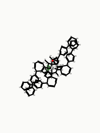 CC1=CC2=C(C=CC=CC2c2ccc(-c3ccccc3)cc2)[C]12C(C)[C]1(C(C)=CC3=C1C=CC=CC3c1ccc(-c3ccccc3)cc1)[Hf]21([Cl])([Cl])[C]2(C(C)=CC3=C2C=CC=CC3c2ccc(-c3ccccc3)cc2)C(C)[C]12C(C)=CC1=C2C=CC=CC1c1ccc(-c2ccccc2)cc1